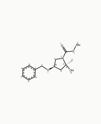 CC(C)(C)OC(=O)N1C[C@H](OCc2ccccc2)C[C@]1(C)O